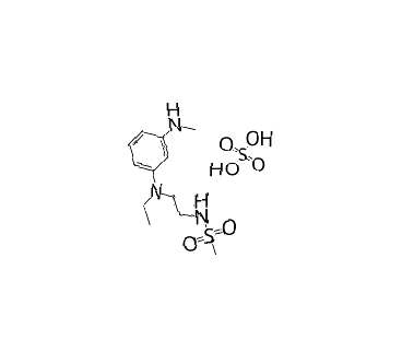 CCN(CCNS(C)(=O)=O)c1cccc(NC)c1.O=S(=O)(O)O